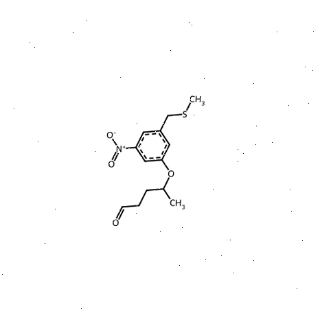 CSCc1cc(OC(C)CCC=O)cc([N+](=O)[O-])c1